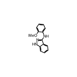 COc1ccccc1Nc1n[nH]c2ccccc12